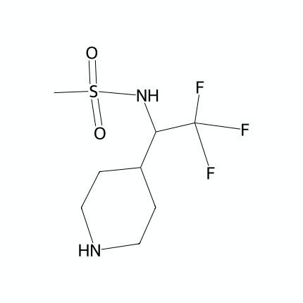 CS(=O)(=O)NC(C1CCNCC1)C(F)(F)F